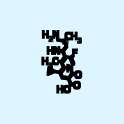 Cc1c(C(=N)C[C@H](C)CN)c(F)cn2c(=O)c(C(=O)O)cc(C3CC3)c12